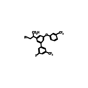 CC(C)CC(C(=O)O)c1cc(Oc2cccc(C(F)(F)F)c2)cc(-c2cc(F)cc(C(F)(F)F)c2)c1